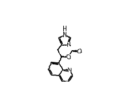 O=COC(Cc1c[nH]cn1)c1cccc2cccnc12